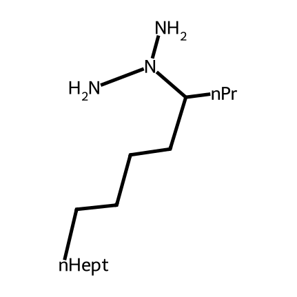 CCCCCCCCCCCC(CCC)N(N)N